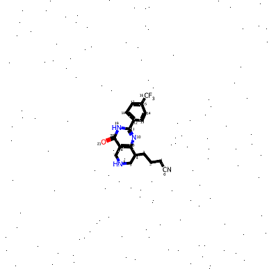 N#CCCCC1CNCc2c1nc(-c1ccc(C(F)(F)F)cc1)[nH]c2=O